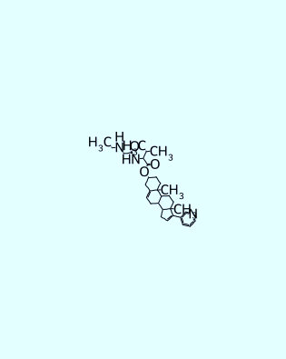 CCNCC(=O)NC(C(=O)OC1CCC2(C)C(=CCC3C2CCC2(C)C(c4cccnc4)=CCC32)C1)C(C)C